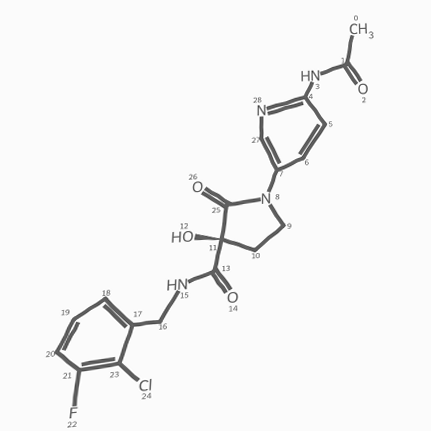 CC(=O)Nc1ccc(N2CC[C@](O)(C(=O)NCc3cccc(F)c3Cl)C2=O)cn1